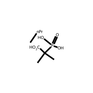 CC(C)(C(=O)O)P(=O)(O)O.CCCC